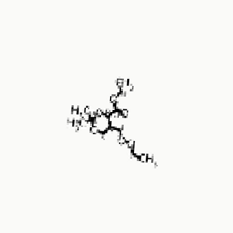 CCOOCC1COC(C)(C)OC1C(=O)OCC